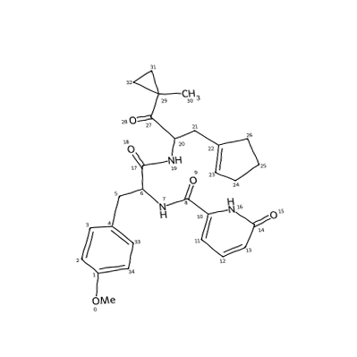 COc1ccc(CC(NC(=O)c2cccc(=O)[nH]2)C(=O)NC(CC2=CCCC2)C(=O)C2(C)CC2)cc1